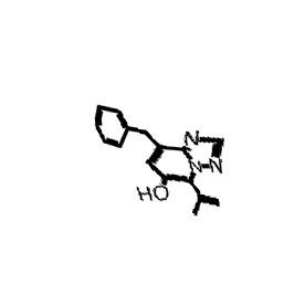 C=C(C)c1c(O)cc(Cc2ccccc2)c2ncnn12